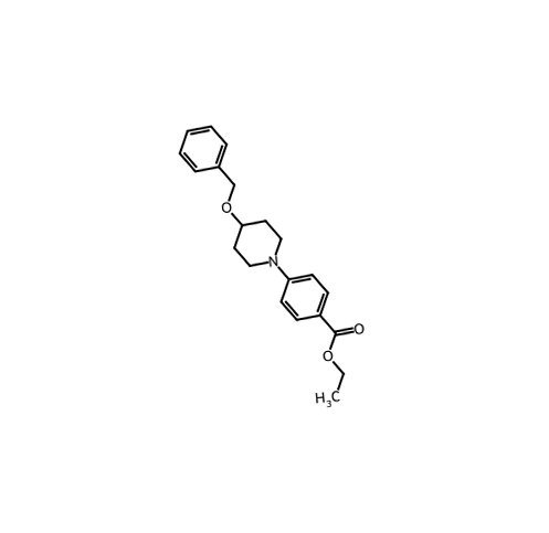 CCOC(=O)c1ccc(N2CCC(OCc3ccccc3)CC2)cc1